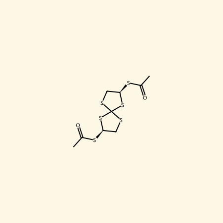 CC(=O)S[C@@H]1CSC2(SC[C@@H](SC(C)=O)S2)S1